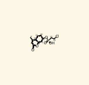 Cc1cc(=O)oc2cc(OP(=O)(O)CCCl)ccc12